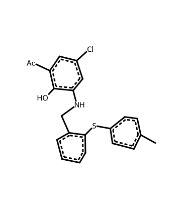 CC(=O)c1cc(Cl)cc(NCc2ccccc2Sc2ccc(C)cc2)c1O